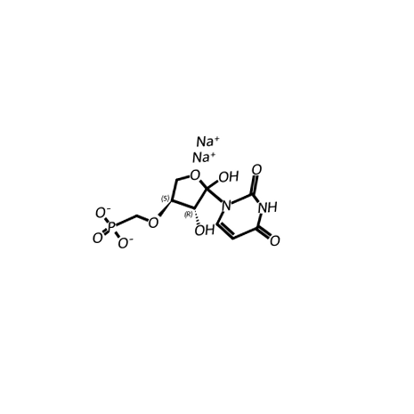 O=c1ccn(C2(O)OC[C@H](OCP(=O)([O-])[O-])[C@H]2O)c(=O)[nH]1.[Na+].[Na+]